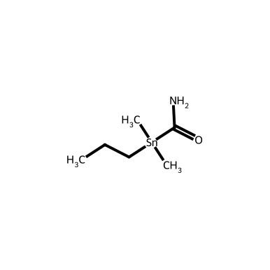 CC[CH2][Sn]([CH3])([CH3])[C](N)=O